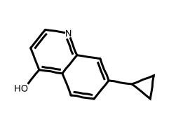 Oc1ccnc2cc(C3CC3)ccc12